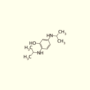 CC(C)Nc1ccc(NC(C)C)c(O)c1